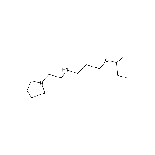 CCC(C)OCCCNCCN1CCCC1